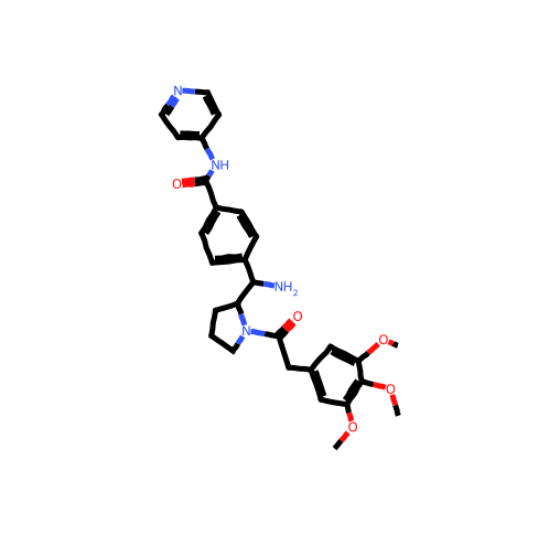 COc1cc(CC(=O)N2CCCC2C(N)c2ccc(C(=O)Nc3ccncc3)cc2)cc(OC)c1OC